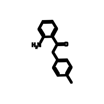 Cc1ccc(CC(=O)c2ccccc2N)cc1